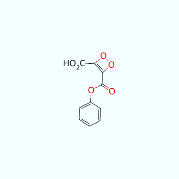 O=C(O)c1ooc1C(=O)Oc1ccccc1